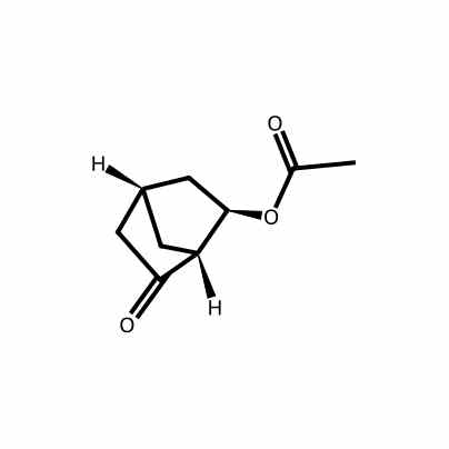 CC(=O)O[C@@H]1C[C@H]2CC(=O)[C@@H]1C2